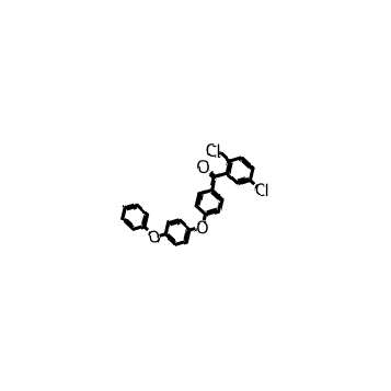 O=C(c1ccc(Oc2ccc(Oc3ccccc3)cc2)cc1)c1cc(Cl)ccc1Cl